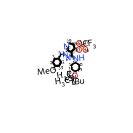 COc1ccc(Cn2nc(N[C@H]3CC[C@H](O[Si](C)(C)C(C)(C)C)CC3)c3c(OS(=O)(=O)C(F)(F)F)ccnc32)cc1